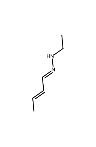 CC=CC=NNCC